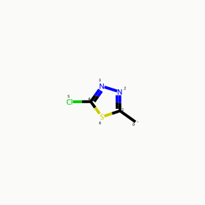 [CH2]c1nnc(Cl)s1